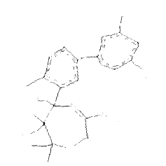 CC1(C)OCC(N)=NC(C)(c2cc(-c3cc(F)cc(F)c3)ccc2F)C1(F)F